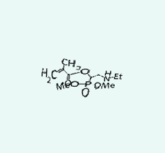 C=C(C)C(=O)OC(CNCC)P(=O)(OC)OC